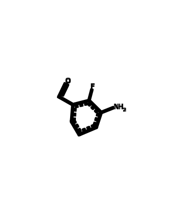 Nc1cccc(C=O)c1F